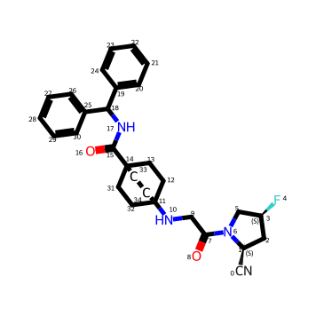 N#C[C@@H]1C[C@H](F)CN1C(=O)CNC12CCC(C(=O)NC(c3ccccc3)c3ccccc3)(CC1)CC2